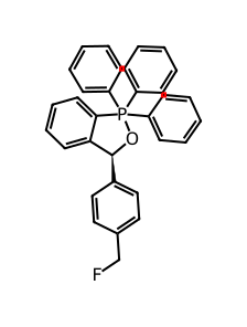 FCc1ccc([C@@H]2OP(c3ccccc3)(c3ccccc3)(c3ccccc3)c3ccccc32)cc1